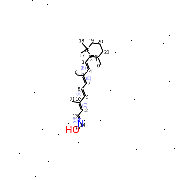 CC1=C(/C=C/C(C)=C/C=C/C(C)=C/C=N/O)C(C)(C)CCC1